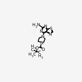 CC(C)(C)OC(=O)N1CCN(c2nc(N)nc3scnc23)CC1